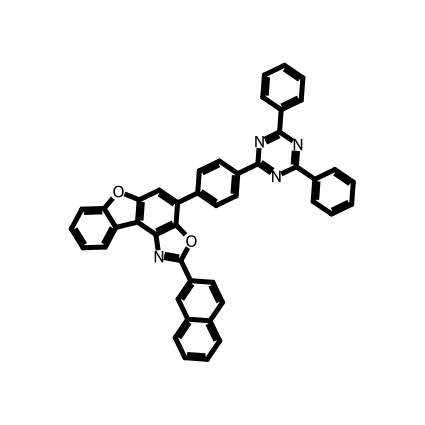 c1ccc(-c2nc(-c3ccccc3)nc(-c3ccc(-c4cc5oc6ccccc6c5c5nc(-c6ccc7ccccc7c6)oc45)cc3)n2)cc1